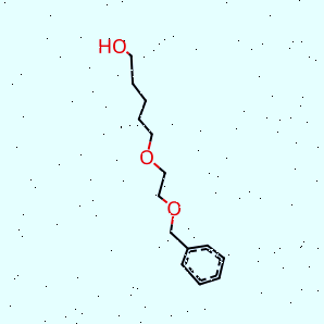 OCCCCCOCCOCc1ccccc1